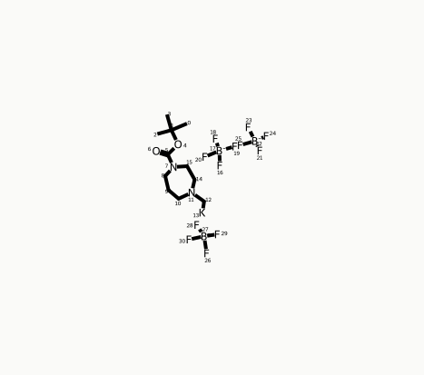 CC(C)(C)OC(=O)N1CCCN([CH2][K])CC1.F[B-](F)(F)F.F[B-](F)(F)F.F[B-](F)(F)F